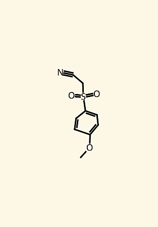 COc1ccc(S(=O)(=O)CC#N)cc1